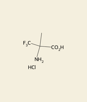 CC(N)(C(=O)O)C(F)(F)F.Cl